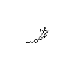 CC=CCCC1CCC(c2ccc(C(F)(F)Oc3cc(F)c(F)c(F)c3)cc2)CC1